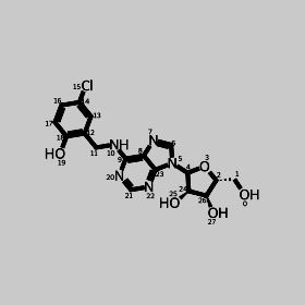 OC[C@H]1OC(n2cnc3c(NCc4cc(Cl)ccc4O)ncnc32)[C@H](O)[C@@H]1O